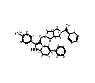 O=C(C1C=CC=CC1)N1CC2CN(CC3=C(c4ccc(Cl)cc4)NC4C=CC(c5ccccc5)=CN34)CC2C1